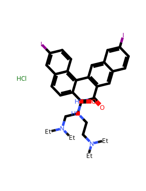 CCN(CC)CCNC(=O)c1cc2ccc(I)cc2cc1-c1c(C(=O)NCCN(CC)CC)ccc2cc(I)ccc12.Cl